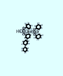 O=P(O)(Oc1ccccc1)Oc1ccccc1.O=P(O)(Oc1ccccc1)Oc1ccccc1.c1ccc(-c2ccccc2)cc1